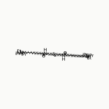 CC[N+](CCCCCCCCCCCCCCCC(=O)NCCCCCSSCCCCCNC(=O)CCCCCCCCCCCCCCC[N+](CC)(C(C)C)C(C)C)(C(C)C)C(C)C